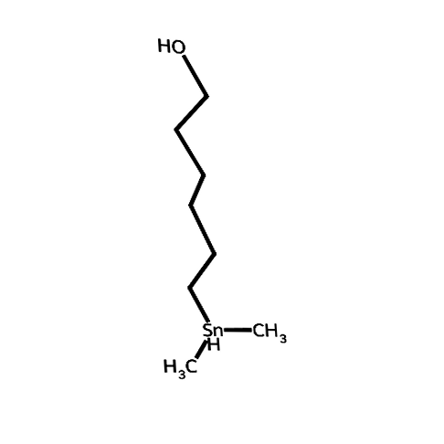 [CH3][SnH]([CH3])[CH2]CCCCCO